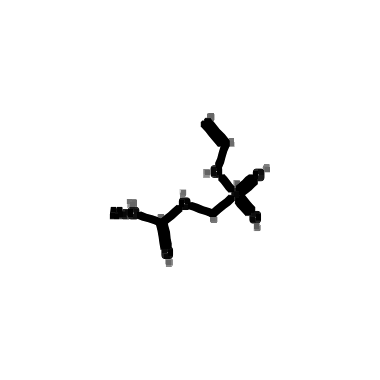 C=COS(=O)(=O)COC(=O)OC